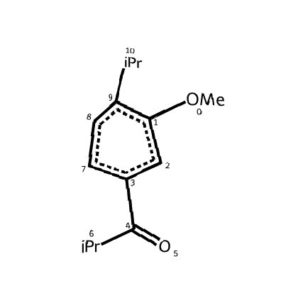 COc1cc(C(=O)C(C)C)ccc1C(C)C